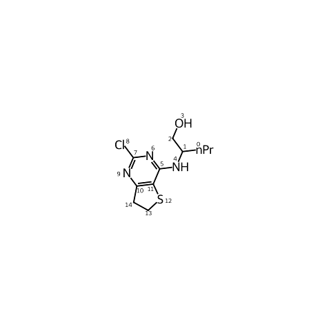 CCCC(CO)Nc1nc(Cl)nc2c1SCC2